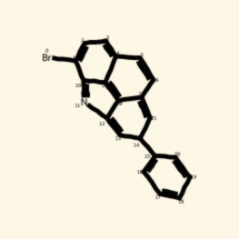 Brc1ccc2ccc3c4c2c1=NC4=CC(c1ccccc1)C=3